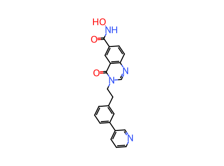 O=C(NO)c1ccc2ncn(CCc3cccc(-c4cccnc4)c3)c(=O)c2c1